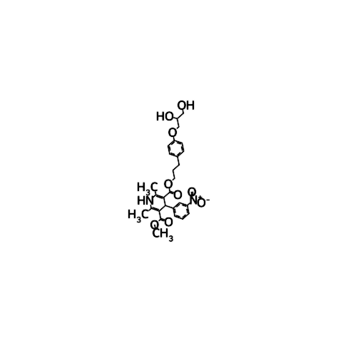 COC(=O)C1=C(C)NC(C)=C(C(=O)OCCCc2ccc(OCC(O)CO)cc2)C1c1cccc([N+](=O)[O-])c1